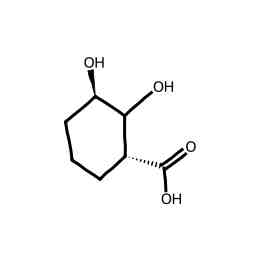 O=C(O)[C@@H]1CCC[C@@H](O)C1O